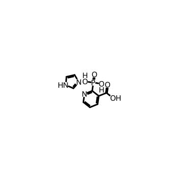 O=C(O)c1cccnc1P(=O)(O)O.c1c[nH]cn1